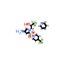 Nc1cc(S(=O)(=O)N2CCC(C(F)(F)F)CC2)n(CC(O)C(F)(F)F)c1.c1ccncc1